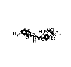 CCN1C(=O)C(C)(C)C(=O)N(C)c2cc(OCCCNCCn3ccc4ccc(C)cc4c3=O)ccc21